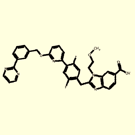 COCCn1c(Cc2cc(F)c(-c3cccc(OCc4cccc(-c5ncccn5)c4)n3)cc2F)nc2ccc(C(=O)O)cc21